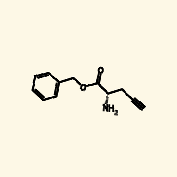 C#CC[C@H](N)C(=O)OCc1ccccc1